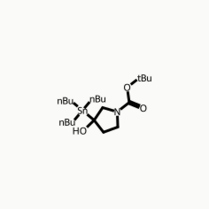 CCC[CH2][Sn]([CH2]CCC)([CH2]CCC)[C]1(O)CCN(C(=O)OC(C)(C)C)C1